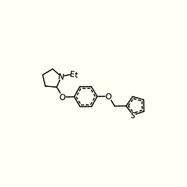 CCN1CCCC1Oc1ccc(OCc2cccs2)cc1